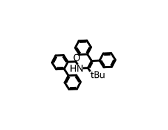 CC(C)(C)C(NC(=O)c1ccccc1-c1ccccc1)=C(c1ccccc1)c1ccccc1